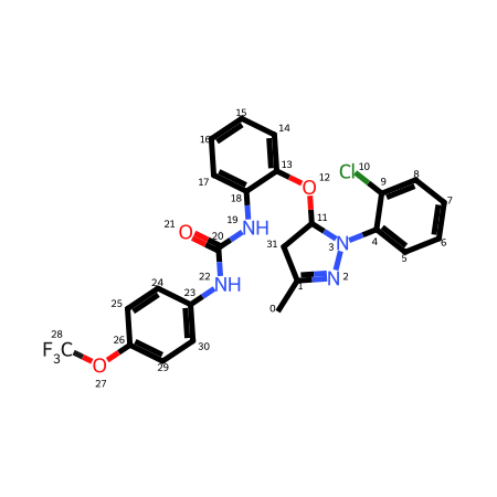 CC1=NN(c2ccccc2Cl)C(Oc2ccccc2NC(=O)Nc2ccc(OC(F)(F)F)cc2)C1